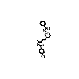 Cc1nc(-c2ccc(Cl)cc2)sc1C=CC1CCCN(OC(=O)c2ccccc2)C1